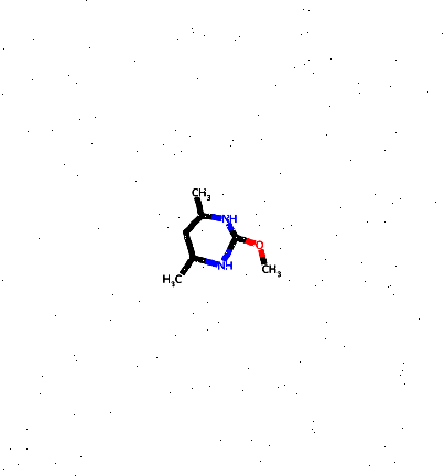 COC1NC(C)CC(C)N1